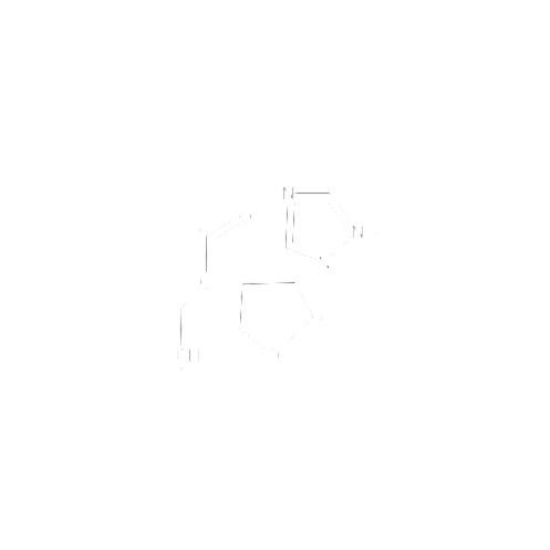 C1CCOC1.CCOC=O.c1nc[nH]n1